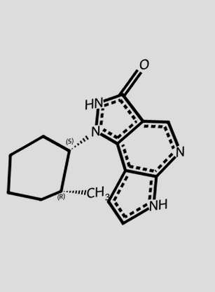 C[C@@H]1CCCC[C@@H]1n1[nH]c(=O)c2cnc3[nH]ccc3c21